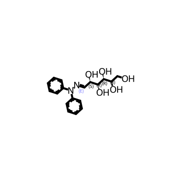 OC[C@@H](O)[C@@H](O)[C@H](O)[C@@H](O)/C=N/N(c1ccccc1)c1ccccc1